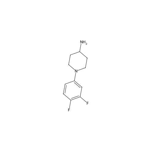 NC1CCN(c2ccc(F)c(F)c2)CC1